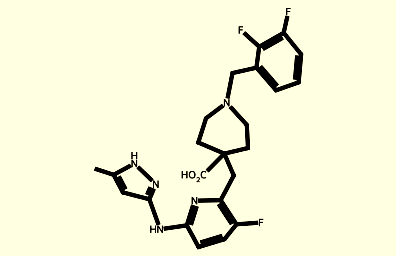 Cc1cc(Nc2ccc(F)c(CC3(C(=O)O)CCN(Cc4cccc(F)c4F)CC3)n2)n[nH]1